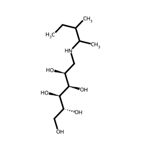 CCC(C)C(C)NC[C@H](O)[C@@H](O)[C@H](O)[C@H](O)CO